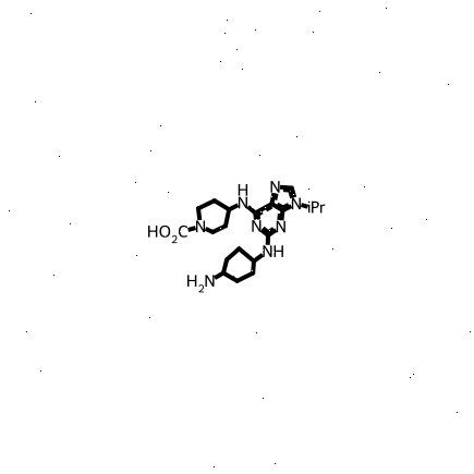 CC(C)n1cnc2c(NC3CCN(C(=O)O)CC3)nc(NC3CCC(N)CC3)nc21